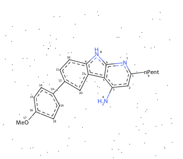 CCCCCc1cc(N)c2c(n1)[nH]c1ccc(-c3ccc(OC)cc3)cc12